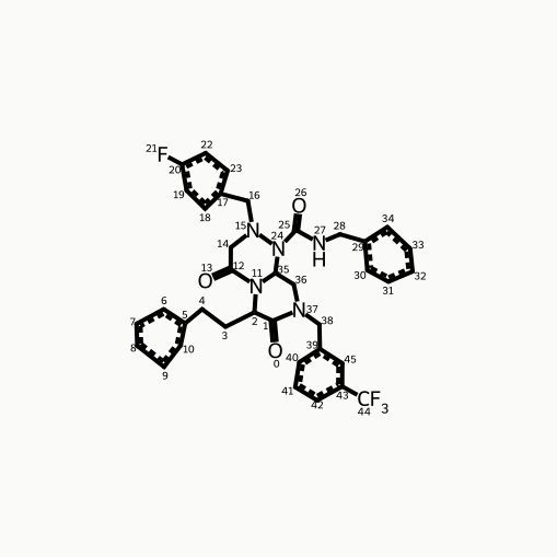 O=C1C(CCc2ccccc2)N2C(=O)CN(Cc3ccc(F)cc3)N(C(=O)NCc3ccccc3)C2CN1Cc1cccc(C(F)(F)F)c1